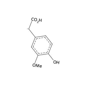 COc1cc([CH]C(=O)O)ccc1O